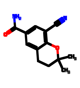 CC1(C)CCc2cc(C(N)=O)cc(C#N)c2O1